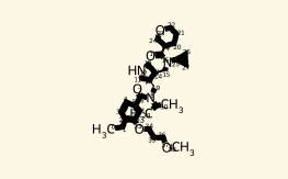 CCc1ccc(C(=O)N(C[C@@H]2CNC[C@H]2CN(C(=O)[C@@H]2CCCOC2)C2CC2)C(C)C)cc1OCCCOC